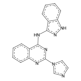 c1ccc2c(Nc3n[nH]c4ccccc34)nc(-n3ccnc3)nc2c1